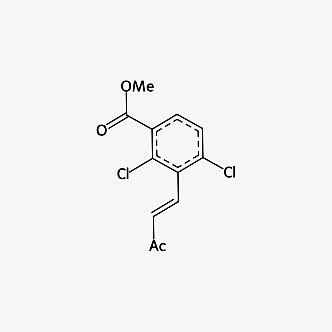 COC(=O)c1ccc(Cl)c(C=CC(C)=O)c1Cl